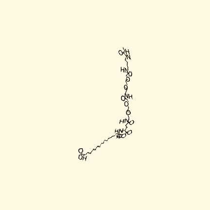 CCC(=O)[C@H](CCCCNC(=O)COCCOCCNC(=O)COCCOCCNC(=O)CC[C@H](NC(=O)CCCCCCCCCCCCCCCCC(=O)O)C(=O)O)NC